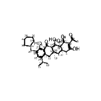 CC(=O)C1=C(O)C[C@@]2(C)C[C@@]3(C)Cc4c(C(C)C)cc(CC5CCCCC5)c(O)c4C(=O)C3=C(O)[C@@]2(O)C1=O